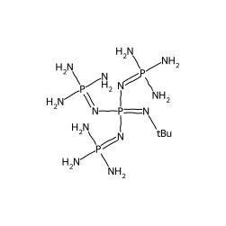 CC(C)(C)N=P(N=P(N)(N)N)(N=P(N)(N)N)N=P(N)(N)N